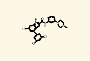 CN1CCN(c2cccc(NC(=O)c3cc4c(-c5cc(Cl)cc(Cl)c5)cc(Cl)cc4[nH]3)c2)CC1